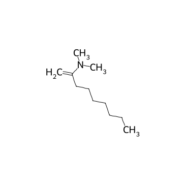 C=C(CCCCCCC)N(C)C